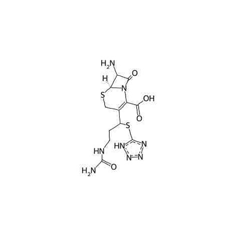 NC(=O)NCCC(Sc1nnn[nH]1)C1=C(C(=O)O)N2C(=O)C(N)[C@@H]2SC1